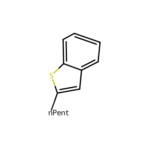 CCCCCc1cc2ccccc2s1